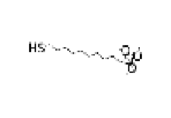 CO[Si](CCCCCCCCCCS)(OC)OC